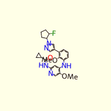 COc1cnc(NC(=O)C2CC2)cc1Nc1cccc(-c2cnn(C3CCCC3F)c2)c1OC